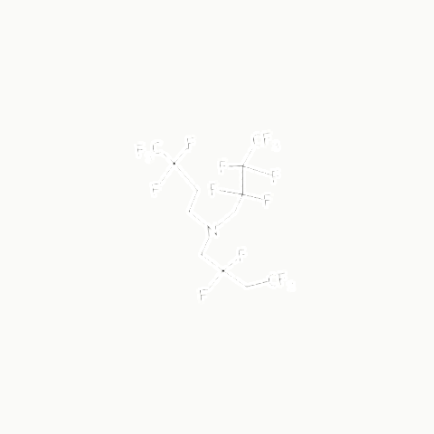 FC(F)(F)CC(F)(F)CN(CCC(F)(F)C(F)(F)F)CC(F)(F)C(F)(F)C(F)(F)F